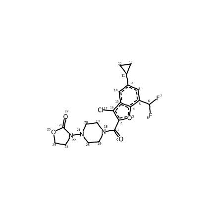 O=C(c1oc2c(C(F)F)cc(C3CC3)cc2c1Cl)N1CCN(N2CCOC2=O)CC1